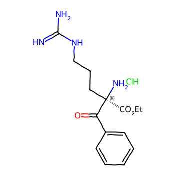 CCOC(=O)[C@@](N)(CCCNC(=N)N)C(=O)c1ccccc1.Cl